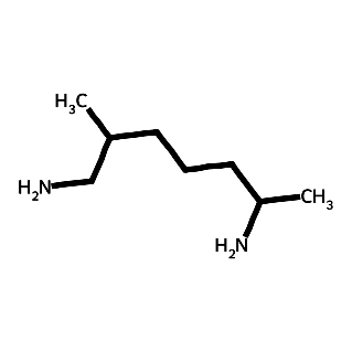 CC(N)CCCC(C)CN